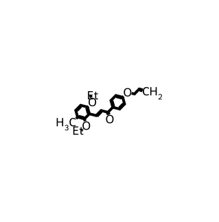 C=CCOc1ccc(C(=O)C=Cc2c(OCC)ccc(C)c2OCC)cc1